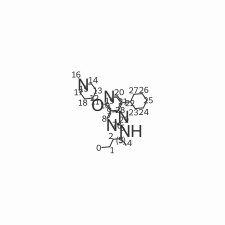 CCC[C@H](C)Nc1ncc2c(OC3CCN(C)CC3)ncc(C3CCCCC3)c2n1